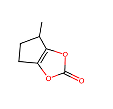 CC1CCc2oc(=O)oc21